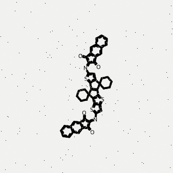 O=c1c(=Nc2cc3c(s2)C2=C(c4sc5cc(N=c6c(=O)c7cc8ccccc8cc7c6=O)sc5c4C24CCCCC4)C32CCCCC2)c(=O)c2cc3ccccc3cc12